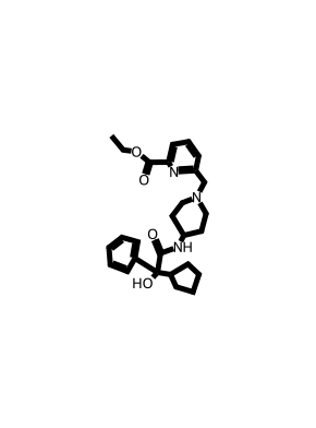 CCOC(=O)c1cccc(CN2CCC(NC(=O)C(O)(c3ccccc3)C3CCCC3)CC2)n1